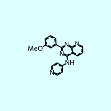 COc1cccc(-c2nc(Nc3ccncc3)c3cccnc3n2)c1